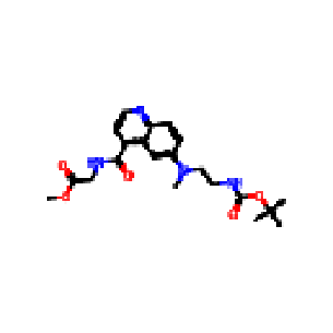 COC(=O)CNC(=O)c1ccnc2ccc(N(C)CCNC(=O)OC(C)(C)C)cc12